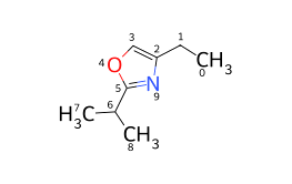 CCc1coc(C(C)C)n1